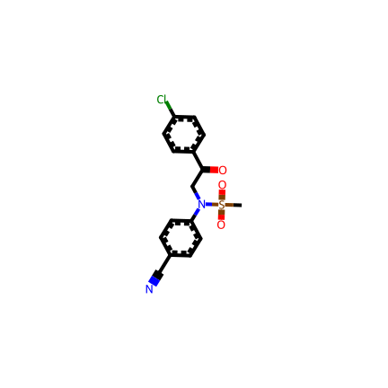 CS(=O)(=O)N(CC(=O)c1ccc(Cl)cc1)c1ccc(C#N)cc1